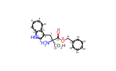 N[C@@](Cc1c[nH]c2ccccc12)(C(=O)O)C(=O)OCc1ccccc1